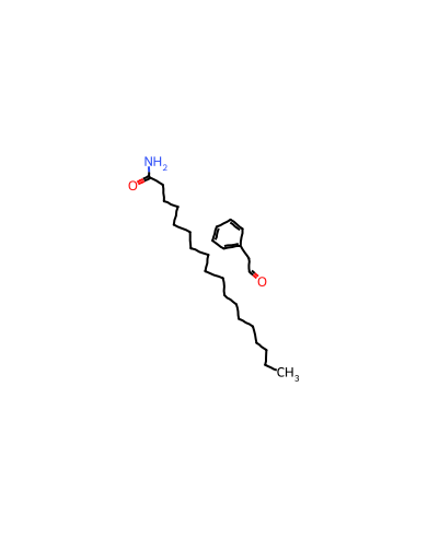 CCCCCCCCCCCCCCCCCC(N)=O.O=CCc1ccccc1